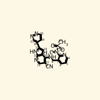 CN(c1ncccc1CNc1c(C#N)cnc2[nH]c(-c3ccnnc3)cc12)S(C)(=O)=O